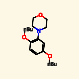 CCCCOc1ccc(OCCCC)c(N2CCOCC2)c1